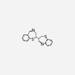 [C]1=Nc2ccccc2SCC1C1CN=Cc2ccccc2S1